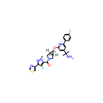 Cn1nc(-c2cscn2)c(F)c1C(=O)N1C[C@@H]2[C@H](C1)[C@@H]2Oc1cc(C(C)(C)N)cc(-c2ccc(F)cc2)n1